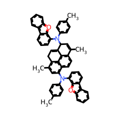 CC1=CC(N(c2ccc(C)cc2)c2cccc3c2oc2ccccc23)C2=CCc3c(C)cc(N(c4ccc(C)cc4)c4cccc5c4oc4ccccc45)c4ccc1c2c34